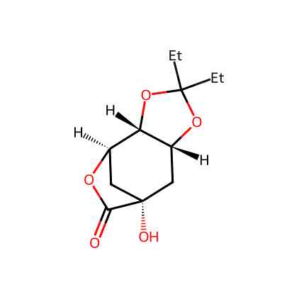 CCC1(CC)O[C@H]2[C@H]3C[C@@](O)(C[C@H]2O1)C(=O)O3